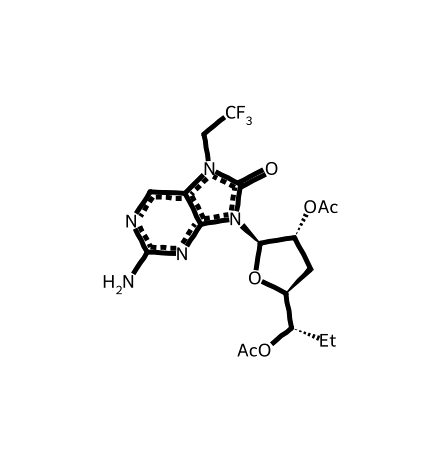 CC[C@H](OC(C)=O)[C@@H]1C[C@@H](OC(C)=O)[C@H](n2c(=O)n(CC(F)(F)F)c3cnc(N)nc32)O1